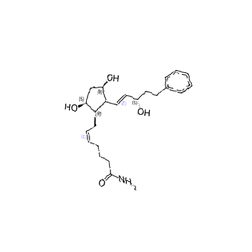 NC(=O)CCC/C=C\C[C@@H]1C(/C=C/[C@@H](O)CCc2ccccc2)[C@H](O)C[C@@H]1O